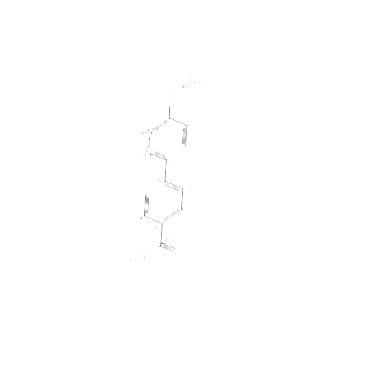 COc1ccc(-c2ccc(C(=O)O)cc2)nn1